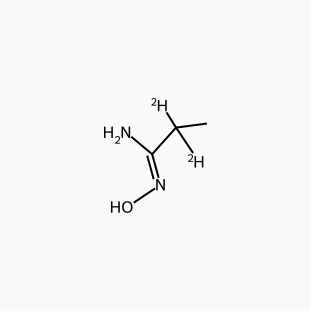 [2H]C([2H])(C)/C(N)=N/O